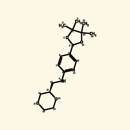 CC1(C)OB(c2ccc(NC[C@@H]3COCCO3)nc2)OC1(C)C